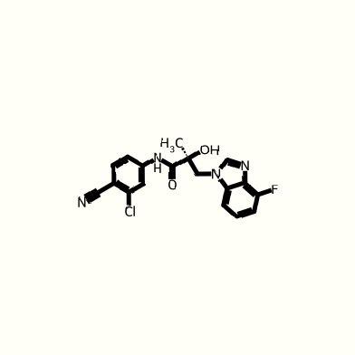 C[C@](O)(Cn1cnc2c(F)cccc21)C(=O)Nc1ccc(C#N)c(Cl)c1